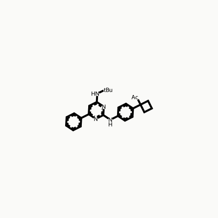 CC(=O)C1(c2ccc(Nc3nc(NC(C)(C)C)cc(-c4ccccc4)n3)cc2)CCC1